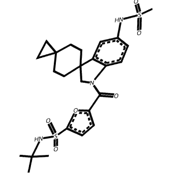 CC(C)(C)NS(=O)(=O)c1ccc(C(=O)N2CC3(CCC4(CC4)CC3)c3cc(NS(C)(=O)=O)ccc32)o1